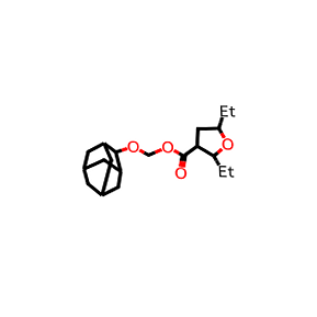 CCC1CC(C(=O)OCOC2C3CC4CC(C3)CC2C4)C(CC)O1